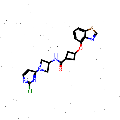 O=C(NC1CN(c2ccnc(Cl)n2)C1)C1CC(Oc2cccc3scnc23)C1